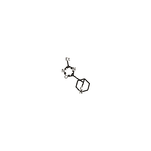 CCc1noc(C2CN3CCC2CC3)n1